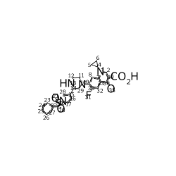 O=C(O)c1cn(C2CC2)c2cc(N3CCNC(c4ccn(S(=O)(=O)c5ccccc5)c4)C3)c(F)cc2c1=O